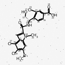 COc1cc2c(cc(C(=O)N[C@H](CO)c3ccc(C(=O)O)cc3Cl)n2C)c(Cl)c1Cl